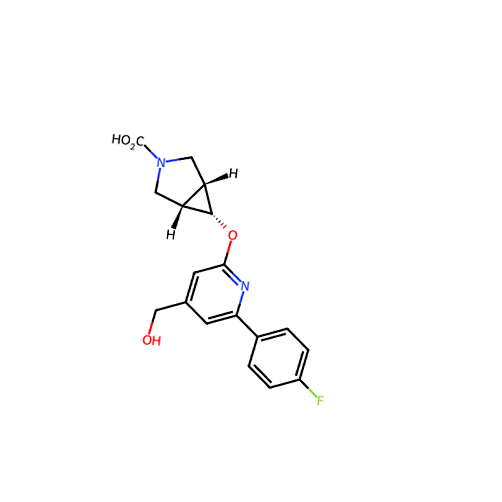 O=C(O)N1C[C@@H]2[C@H](C1)[C@@H]2Oc1cc(CO)cc(-c2ccc(F)cc2)n1